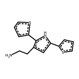 NCCc1cc(-c2cccs2)[nH]c1-c1cccs1